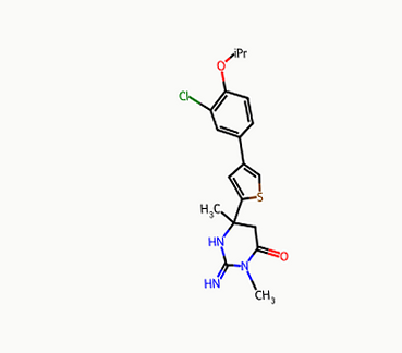 CC(C)Oc1ccc(-c2csc(C3(C)CC(=O)N(C)C(=N)N3)c2)cc1Cl